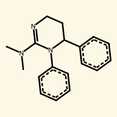 CN(C)C1=NCCC(c2ccccc2)N1c1ccccc1